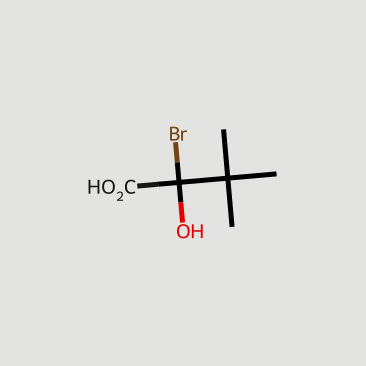 CC(C)(C)C(O)(Br)C(=O)O